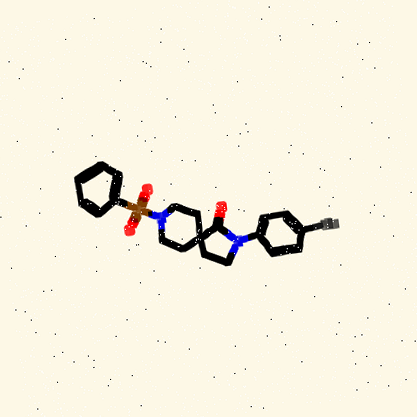 CC(C)(C)c1ccc(N2CCC3(CCN(S(=O)(=O)c4ccccc4)CC3)C2=O)cc1